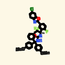 COc1ccc(C(NC2=N[C@](C)(c3cc(-c4nc5ccc(Cl)cc5o4)ccc3F)C(F)(F)CO2)(c2ccccc2)c2ccc(OC)cc2)cc1